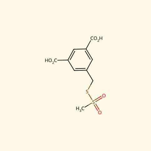 CS(=O)(=O)SCc1cc(C(=O)O)cc(C(=O)O)c1